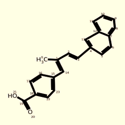 CC(C=Cc1ccc2ccccc2c1)=Cc1ccc(C(=O)O)cc1